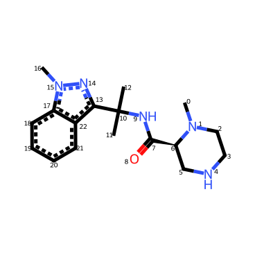 CN1CCNC[C@H]1C(=O)NC(C)(C)c1nn(C)c2ccccc12